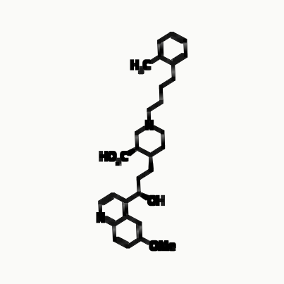 COc1ccc2nccc([C@H](O)CC[C@@H]3CCN(CCCCc4ccccc4C)C[C@@H]3C(=O)O)c2c1